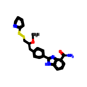 NC(=O)c1cccc2[nH]c(-c3ccc(CC(CSSc4ccccn4)OC(=O)O)cc3)nc12